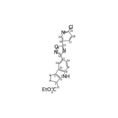 CCOC(=O)CC1CCc2c1[nH]c1ccc(-c3noc(-c4ccc(Cl)nc4)n3)cc21